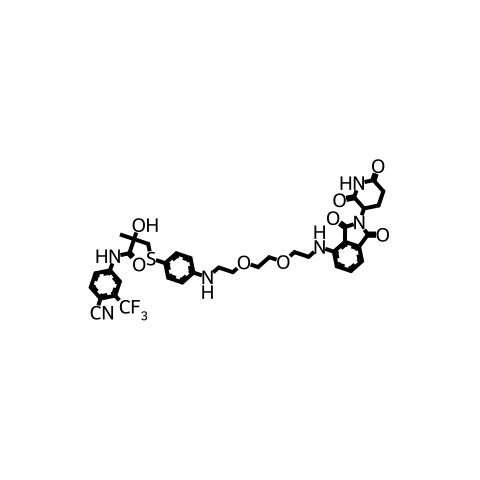 CC(O)(CSc1ccc(NCCOCCOCCNc2cccc3c2C(=O)N(C2CCC(=O)NC2=O)C3=O)cc1)C(=O)Nc1ccc(C#N)c(C(F)(F)F)c1